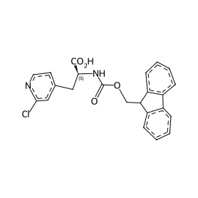 O=C(N[C@@H](Cc1ccnc(Cl)c1)C(=O)O)OCC1c2ccccc2-c2ccccc21